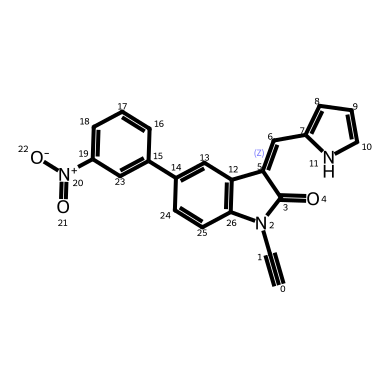 C#CN1C(=O)/C(=C\c2ccc[nH]2)c2cc(-c3cccc([N+](=O)[O-])c3)ccc21